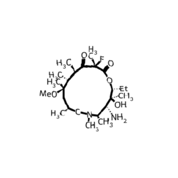 CC[C@H]1OC(=O)[C@@](C)(F)C(=O)[C@H](C)[C@@H](C)[C@](C)(OC)C[C@@H](C)CN(C)[C@H](C)[C@@H](N)[C@]1(C)O